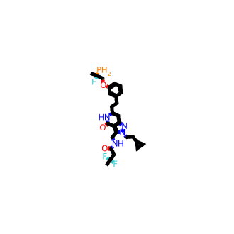 CC(F)(F)CC(=O)NCc1c2c(nn1CCC1CC1)CC(CCc1cccc(OCC(C)(F)P)c1)NC2=O